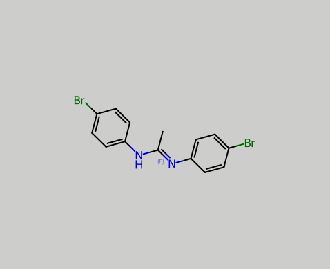 C/C(=N\c1ccc(Br)cc1)Nc1ccc(Br)cc1